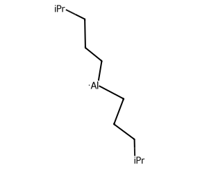 CC(C)CC[CH2][Al][CH2]CCC(C)C